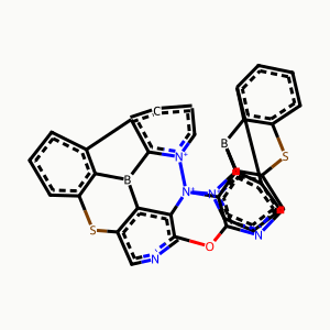 c1cc2c3c(c1)-c1ccc[n+]4c1B3c1c(cnc3c1[N+]41c4c(ncc5c4B4c6c(cccc6-c6ccc[n+]1c64)S5)O3)S2